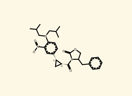 CC(C)CN(CC(C)C)c1ccc([C@H]2C[C@H]2C(=O)N2C(=O)OCC2Cc2ccccc2)cc1[N+](=O)[O-]